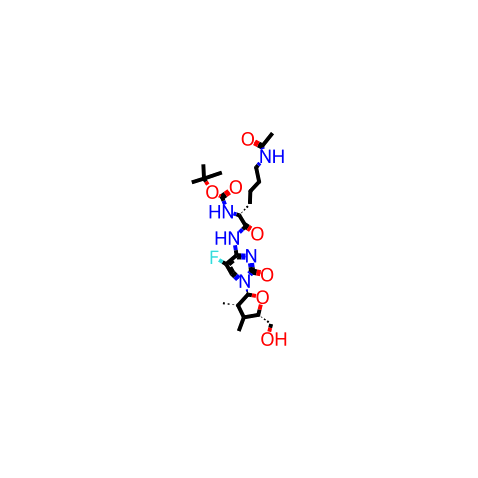 CC(=O)NCCCC[C@@H](NC(=O)OC(C)(C)C)C(=O)Nc1nc(=O)n([C@@H]2O[C@H](CO)C(C)[C@@H]2C)cc1F